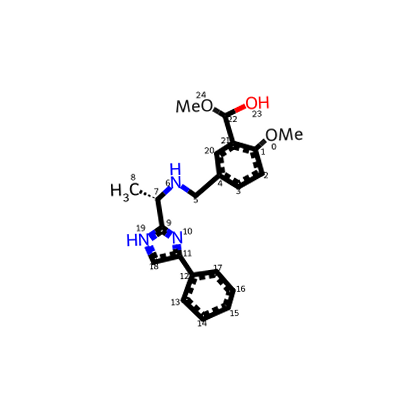 COc1ccc(CN[C@@H](C)c2nc(-c3ccccc3)c[nH]2)cc1C(O)OC